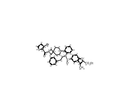 CCOC(=O)c1oc2ccc([S+]([O-])N(CCc3ccccc3)c3ccccc3N3CCC4(CC3)CN(C(=O)c3sccc3Br)C4)cc2c1C